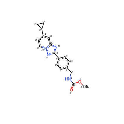 CC(C)(C)OC(=O)NCc1ccc(-c2nc3cc(C4CC4)ccn3n2)cc1